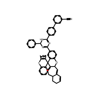 N#Cc1cccc(-c2ccc(C3=NC(c4ccc5c(c4)C4(C6=CCC7CCC=CC7=CC6O5)C5=C(C=CC=C=C5)Sc5ccccc54)=NC(c4ccccc4)N3)cc2)c1